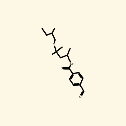 CCC(C)COC(C)(C)CC(C)NC(=O)c1ccc(C=O)cc1